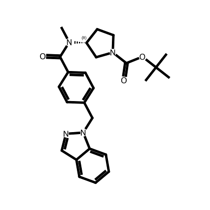 CN(C(=O)c1ccc(Cn2ncc3ccccc32)cc1)[C@@H]1CCN(C(=O)OC(C)(C)C)C1